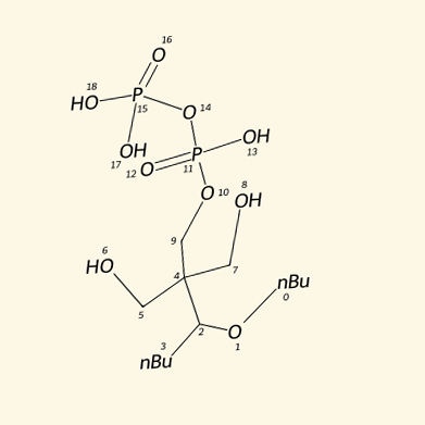 CCCCOC(CCCC)C(CO)(CO)COP(=O)(O)OP(=O)(O)O